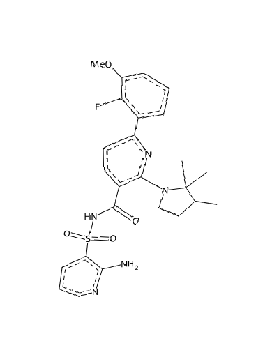 COc1cccc(-c2ccc(C(=O)NS(=O)(=O)c3cccnc3N)c(N3CCC(C)C3(C)C)n2)c1F